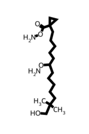 CC(C)(CO)CCCCCC(CCCCCC1(C(=O)ON)CC1)ON